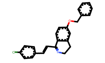 Clc1ccc(/C=C/C2=NCCc3cc(OCc4ccccc4)ccc32)cc1